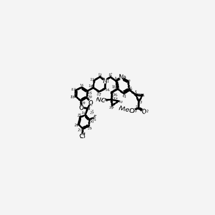 COC(=O)C1CC1c1cnc(CN2CCC(c3cccc4c3O[C@@](C)(c3ccc(Cl)cc3F)O4)CC2)c(CC2(C#N)CC2)c1